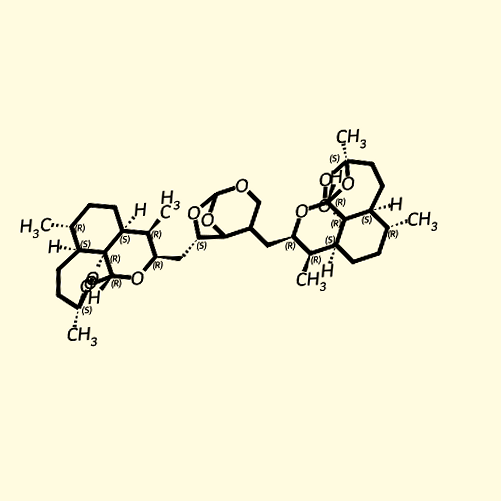 C[C@H]1[C@@H](CC2COC3OC2[C@H](C[C@H]2O[C@@H]4O[C@]5(C)CC[C@H]6[C@H](C)CC[C@@H]([C@H]2C)[C@@]46OO5)O3)O[C@@H]2O[C@]3(C)CC[C@H]4[C@H](C)CC[C@@H]1[C@@]24OO3